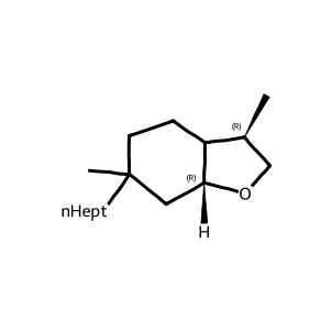 CCCCCCCC1(C)CCC2[C@@H](C)CO[C@@H]2C1